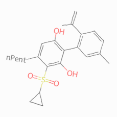 C=C(C)c1ccc(C)cc1-c1c(O)cc(CCCCC)c(S(=O)(=O)C2CC2)c1O